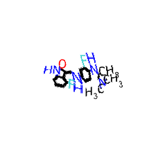 CC(CN(C)C)Nc1ccc(N/C=C2/C(=O)Nc3cccc(F)c32)cc1F